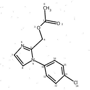 CC(=O)OCc1nccn1-c1ccc(Cl)cc1